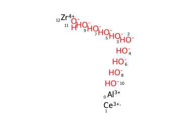 [Al+3].[Ce+3].[OH-].[OH-].[OH-].[OH-].[OH-].[OH-].[OH-].[OH-].[OH-].[OH-].[Zr+4]